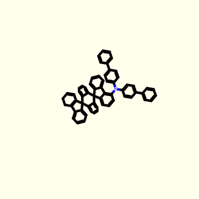 C1=CC2=C(CC1)c1ccccc1C21c2ccccc2C2(c3ccccc3-c3c(N(c4ccc(-c5ccccc5)cc4)c4ccc(-c5ccccc5)cc4)cccc32)c2ccccc21